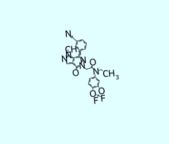 CCN(C(=O)Cn1nc(-c2cccc(C#N)c2)c2c(cnn2C)c1=O)c1ccc2c(c1)OC(F)(F)O2